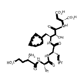 CC(C)C[C@H](NC(=O)[C@@H](NC(=O)[C@@H](N)CCC(=O)O)C(C)C)C(=O)N[C@@H](Cc1ccccc1)[C@@H](O)C(=O)N[C@H](CC(=O)O)C(=O)O